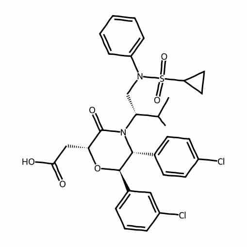 CC(C)[C@@H](CN(c1ccccc1)S(=O)(=O)C1CC1)N1C(=O)[C@@H](CC(=O)O)O[C@H](c2cccc(Cl)c2)[C@H]1c1ccc(Cl)cc1